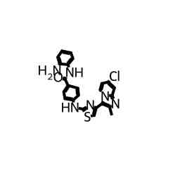 Cc1nc2cc(Cl)ccn2c1-c1csc(Nc2ccc(C(=O)Nc3ccccc3N)cc2)n1